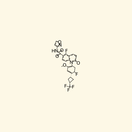 COC1=C(n2c(=O)ccc3c(F)c(S(=O)(=O)Nc4ccon4)ccc32)CC(F)C([C@H]2C[C@H](C(F)(F)F)C2)=C1